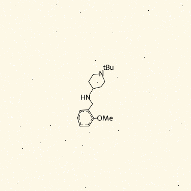 COc1ccccc1CNC1CCN(C(C)(C)C)CC1